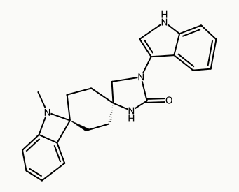 CN1c2ccccc2[C@]12CC[C@]1(CC2)CN(c2c[nH]c3ccccc23)C(=O)N1